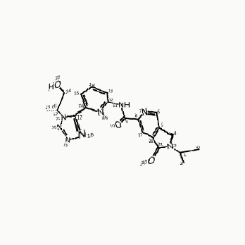 CC(C)N1Cc2cnc(C(=O)Nc3cccc(-c4nnnn4[C@H](C)CO)n3)cc2C1=O